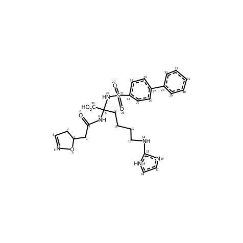 O=C(CC1CC=NO1)NC(CCCCNc1ncc[nH]1)(NS(=O)(=O)c1ccc(-c2ccccc2)cc1)C(=O)O